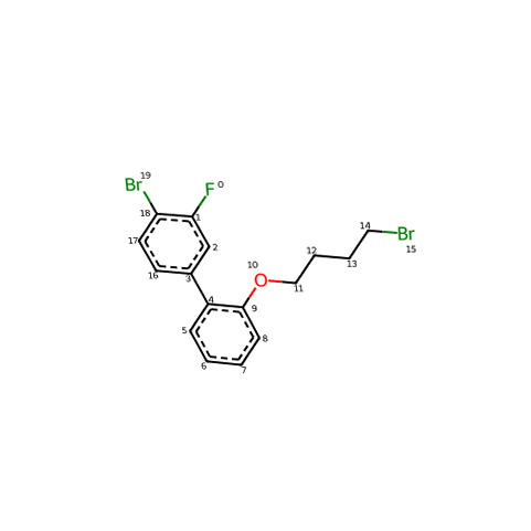 Fc1cc(-c2ccccc2OCCCCBr)ccc1Br